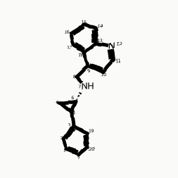 c1ccc(C2C[C@@H]2NCc2ccnc3ccccc23)cc1